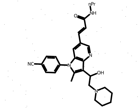 CCCNC(=O)/C=C/c1cnc2c(C(O)CN3CCCCC3)c(C)n(-c3ccc(C#N)cc3)c2c1